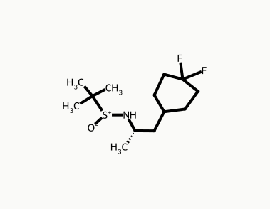 C[C@@H](CC1CCC(F)(F)CC1)N[S+]([O-])C(C)(C)C